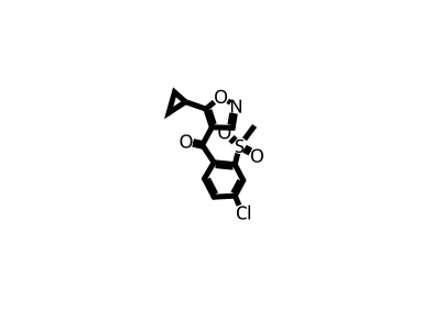 CS(=O)(=O)c1cc(Cl)ccc1C(=O)c1cnoc1C1CC1